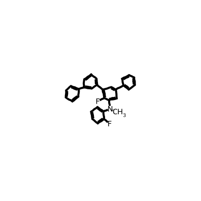 CN(c1ccccc1F)c1cc(-c2ccccc2)cc(-c2cccc(-c3ccccc3)c2)c1F